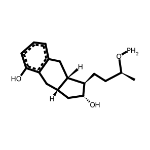 C[C@@H](CC[C@@H]1[C@H]2Cc3cccc(O)c3C[C@H]2C[C@H]1O)OP